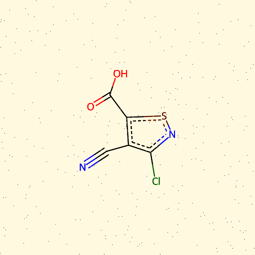 N#Cc1c(Cl)nsc1C(=O)O